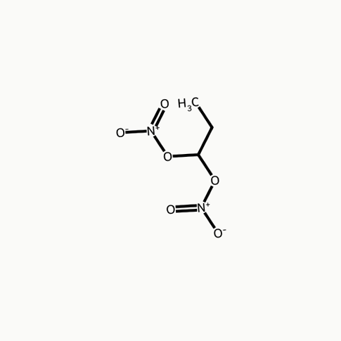 CCC(O[N+](=O)[O-])O[N+](=O)[O-]